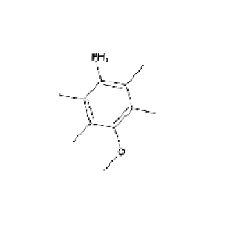 COc1c(C)c(C)c(P)c(C)c1C